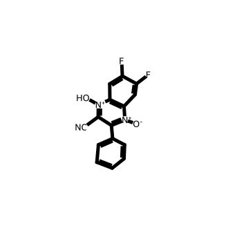 N#Cc1c(-c2ccccc2)[n+]([O-])c2cc(F)c(F)cc2[n+]1O